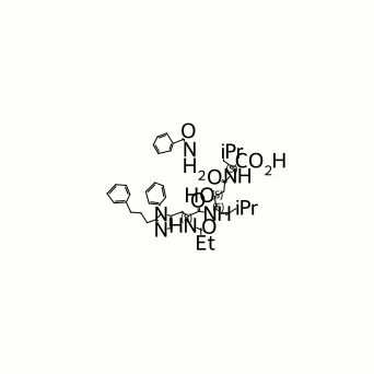 CCC(=O)N[C@@H](Cc1cnc(CCCc2ccccc2)n1-c1ccccc1)C(=O)N[C@@H](CC(C)C)[C@@H](O)CC(=O)N[C@@H](CC(C)C)C(=O)O.NC(=O)c1ccccc1